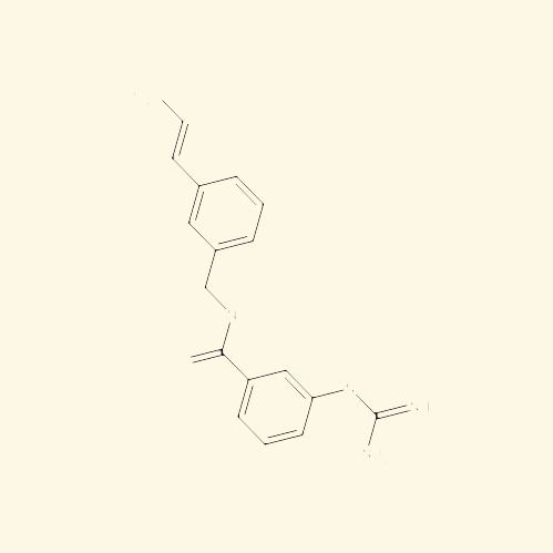 N=C(N)Nc1cccc(C(=O)NCc2cccc(C=CC(=O)O)c2)c1